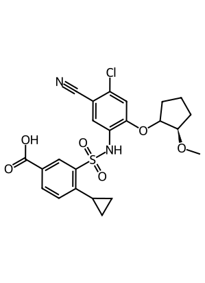 CO[C@@H]1CCCC1Oc1cc(Cl)c(C#N)cc1NS(=O)(=O)c1cc(C(=O)O)ccc1C1CC1